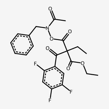 CCOC(=O)C(CC)(C(=O)ON(Cc1ccccc1)C(C)=O)C(=O)c1cc(F)c(F)cc1F